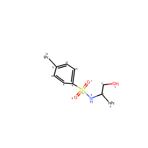 CCCC(CO)NS(=O)(=O)c1ccc(C(C)C)cc1